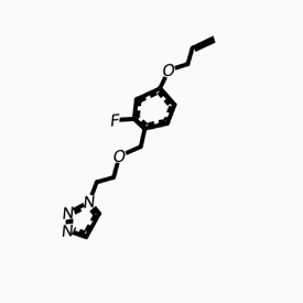 C=CCOc1ccc(COCCn2ccnn2)c(F)c1